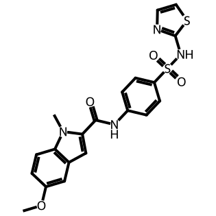 COc1ccc2c(c1)cc(C(=O)Nc1ccc(S(=O)(=O)Nc3nccs3)cc1)n2C